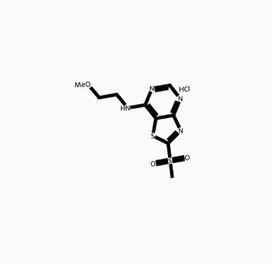 COCCNc1ncnc2nc(S(C)(=O)=O)sc12.Cl